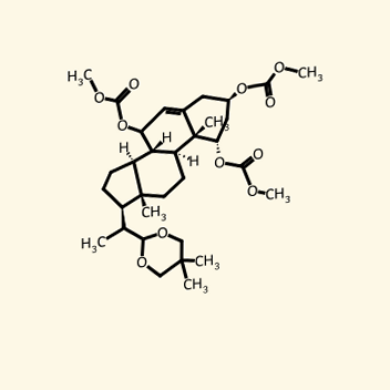 COC(=O)OC1C=C2C[C@@H](OC(=O)OC)C[C@H](OC(=O)OC)[C@]2(C)[C@H]2CC[C@]3(C)[C@@H](C(C)C4OCC(C)(C)CO4)CC[C@H]3[C@H]12